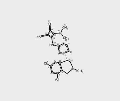 CN1Cc2c(Cl)cc(Cl)cc2[C@H](c2cccc(Nc3c(N(C)C)c(=O)c3=O)c2)C1